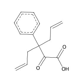 C=CCC(CC=C)(C(=O)C(=O)O)c1ccccc1